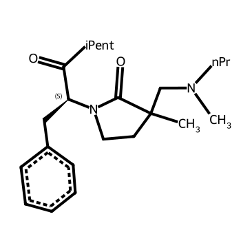 CCCC(C)C(=O)[C@H](Cc1ccccc1)N1CCC(C)(CN(C)CCC)C1=O